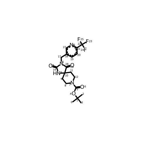 CC(C)(C)OC(=O)N1CCC2(CC1)NC(=O)N(Cc1ccc(C(F)(F)F)nc1)C2=O